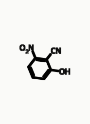 N#Cc1c(O)cccc1[N+](=O)[O-]